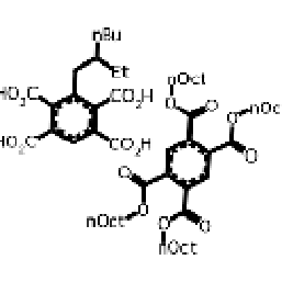 CCCCC(CC)Cc1c(C(=O)O)c(C(=O)O)cc(C(=O)O)c1C(=O)O.CCCCCCCCOC(=O)c1cc(C(=O)OCCCCCCCC)c(C(=O)OCCCCCCCC)cc1C(=O)OCCCCCCCC